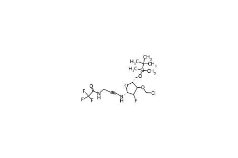 CC(C)(C)[Si](C)(C)OC[C@H]1O[C@@H](BC#CCNC(=O)C(F)(F)F)C(F)C1OCCl